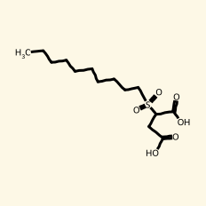 CCCCCCCCCCS(=O)(=O)C(CC(=O)O)C(=O)O